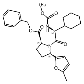 Cc1ccc([C@H]2CC[C@@H](C(=O)OCc3ccccc3)N2C(=O)[C@@H](NC(=O)OC(C)(C)C)C2CCCCC2)o1